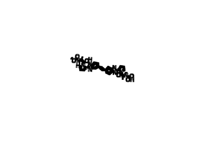 COC(=O)N[C@@H](C)C(=O)N1CCC[C@H]1c1nc2cc(C#Cc3ccc4[nH]c([C@@H]5CCCN5C(=O)[C@H](C)N(C)C(=O)O)nc4c3)ccc2[nH]1